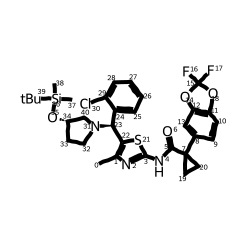 Cc1nc(NC(=O)C2(c3ccc4c(c3)OC(F)(F)O4)CC2)sc1[C@H](c1ccccc1Cl)N1CC[C@H](O[Si](C)(C)C(C)(C)C)C1